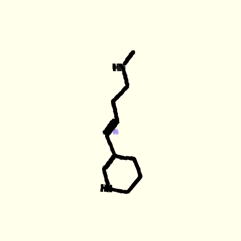 CNCC/C=C/C1CCCNC1